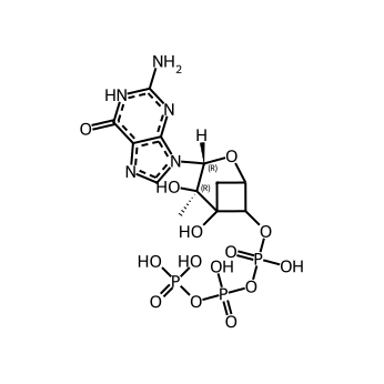 C[C@]1(O)[C@H](n2cnc3c(=O)[nH]c(N)nc32)OC2CC1(O)C2OP(=O)(O)OP(=O)(O)OP(=O)(O)O